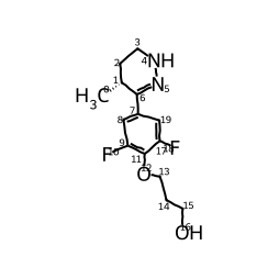 C[C@@H]1CCNN=C1c1cc(F)c(OCCCO)c(F)c1